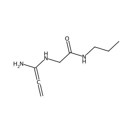 C=C=C(N)NCC(=O)NCCC